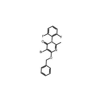 Cc1nc(OCc2ccccc2)c(Br)c(=O)n1-c1c(F)cccc1F